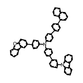 c1cc(-c2ccc(N(c3ccc(-c4ccc(-c5cccc6ccccc56)cc4)cc3)c3ccc(-c4ccc5oc6ccccc6c5c4)cc3)cc2)cc(-n2c3ccccc3c3ccccc32)c1